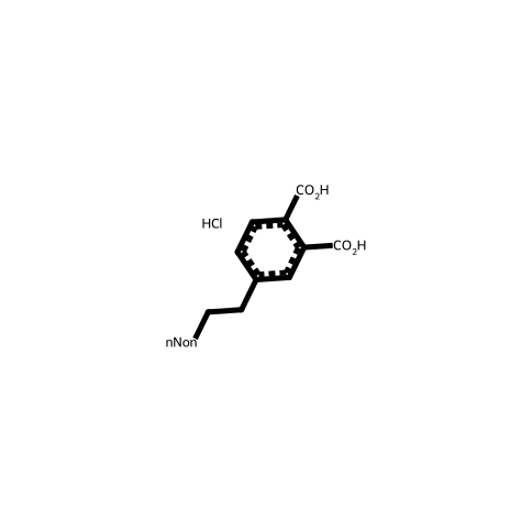 CCCCCCCCCCCc1ccc(C(=O)O)c(C(=O)O)c1.Cl